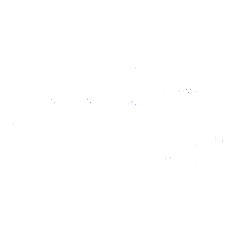 COC(=O)[C@H](CO[Si](C)(C)C(C)(C)C)NC(=O)c1csc(N2CCOCC2)n1